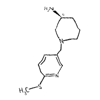 CSc1ccc(N2CCC[C@H](N)C2)cn1